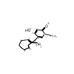 Cl.Cn1cc(C2(N)CCCCC2)ccc1=O